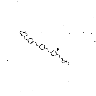 C=CCCc1ccc(CCc2ccc(CCc3ccc(CCC=C)c(F)c3)cc2)cc1